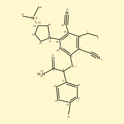 CCc1c(C#N)c(SC(C(N)=O)c2ccc(F)cc2)nc(N2CC[C@H](N(C)C)C2)c1C#N